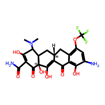 CN(C)C1C(O)=C(C(N)=O)C(=O)[C@@]2(O)C(O)=C3C(=O)c4c(O)c(N)cc(OC(F)(F)F)c4C[C@H]3CC12